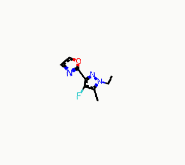 CCn1nc(-c2ncco2)c(F)c1C